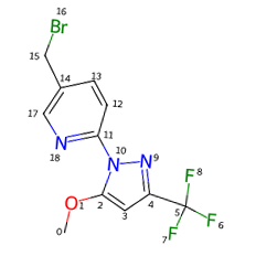 COc1cc(C(F)(F)F)nn1-c1ccc(CBr)cn1